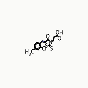 Cc1ccc(/C=C2\SC(=S)N(CCC(=O)O)C2=O)c(Cl)c1